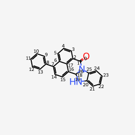 O=C1c2cccc3c(-c4ccccc4)ccc(c23)C2Nc3ccccc3N12